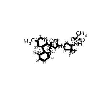 Cc1cnc(C2(CF)CC(N3C[C@@H](NS(C)(=O)=O)C(F)(F)C3)=NO2)c(-c2c(F)cccc2F)c1